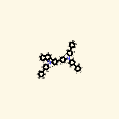 c1ccc(-c2ccc(N(c3ccc(-c4ccccc4)cc3)c3ccc(-c4ccc5c(c4)c4ccc6ccccc6c4n5-c4ccc(-c5ccccc5)cc4)cc3)cc2)cc1